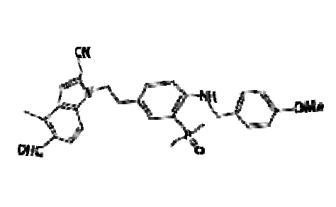 COc1ccc(CNc2ccc(CCn3c(C#N)cc4c(C)c(C=O)ccc43)cc2P(C)(C)=O)cc1